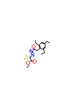 CCOC(=O)/C(=N/N(C)C(=O)Cc1c(CC)cc(CC)cc1CC)SC